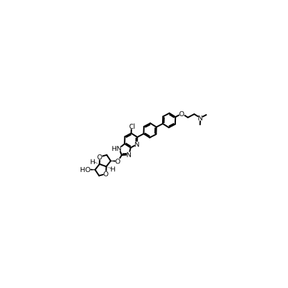 CN(C)CCOc1ccc(-c2ccc(-c3nc4nc(O[C@@H]5CO[C@H]6[C@@H]5OC[C@H]6O)[nH]c4cc3Cl)cc2)cc1